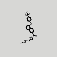 CC(F)(F)c1ccc(Oc2cccc3cc(C(=O)N4CC(CNCCF)C4)ccc23)cc1